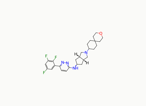 Fc1cc(F)c(F)c(-c2ccc(N[C@H]3C[C@@H]4CN(C5CCC6(CCOCC6)CC5)C[C@@H]4C3)nn2)c1